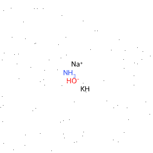 N.[KH].[Na+].[OH-]